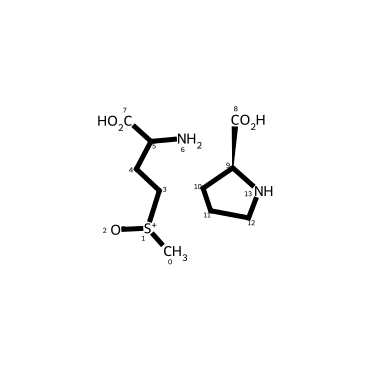 C[S+]([O-])CCC(N)C(=O)O.O=C(O)[C@@H]1CCCN1